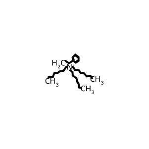 C=CC(c1ccccc1)[N+](CCCCCCCC)(CCCCCCCC)CCCCCCCC